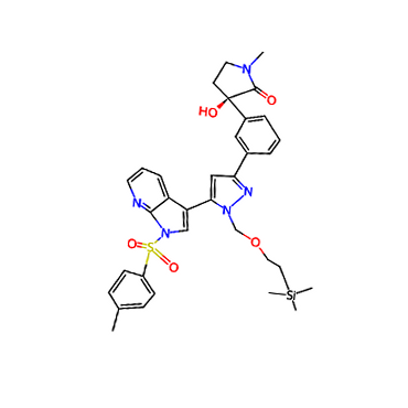 Cc1ccc(S(=O)(=O)n2cc(-c3cc(-c4cccc([C@]5(O)CCN(C)C5=O)c4)nn3COCC[Si](C)(C)C)c3cccnc32)cc1